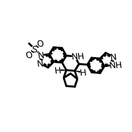 CS(=O)(=O)n1ncc2c3c(ccc21)NC(c1ccc2[nH]ncc2c1)[C@@H]1C2CCC(C2)[C@H]31